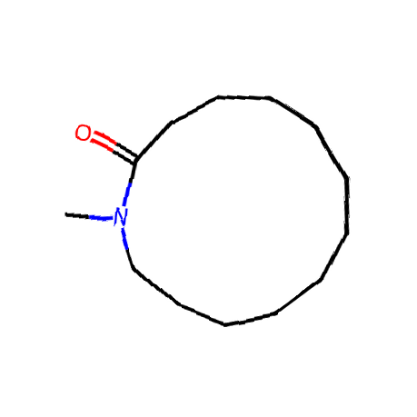 CN1CCCCCCCCCCCC1=O